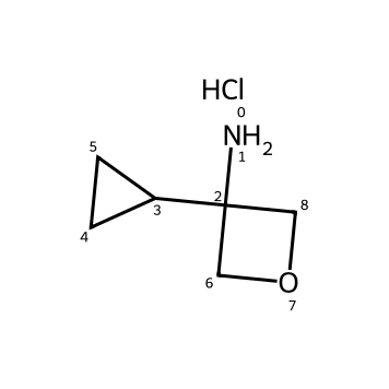 Cl.NC1(C2CC2)COC1